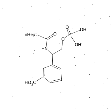 CCCCCCCC(=O)NC(COP(=O)(O)O)c1cccc(C(=O)O)c1